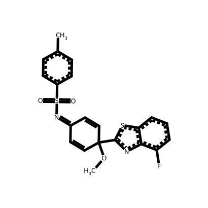 COC1(c2nc3c(F)cccc3s2)C=CC(=NS(=O)(=O)c2ccc(C)cc2)C=C1